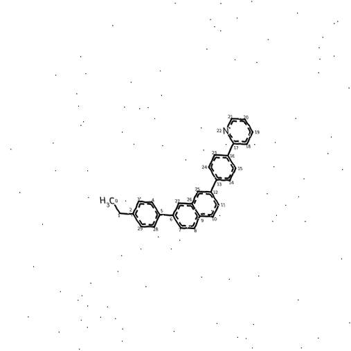 CCc1ccc(-c2ccc3ccc(-c4ccc(-c5ccccn5)cc4)cc3c2)cc1